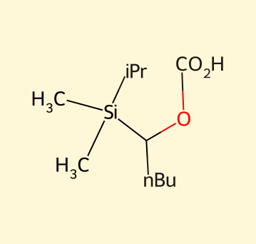 CCCCC(OC(=O)O)[Si](C)(C)C(C)C